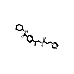 CC(CNC(O)CCn1ccnc1)c1ccc(C(=O)NC2CCCCC2)cc1